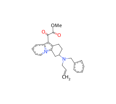 C=CCN(Cc1ccccc1)C1CCc2c(C(=O)C(=O)OC)c3ccccn3c2C1